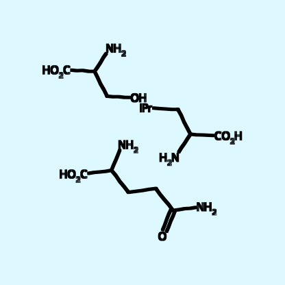 CC(C)CC(N)C(=O)O.NC(=O)CCC(N)C(=O)O.NC(CO)C(=O)O